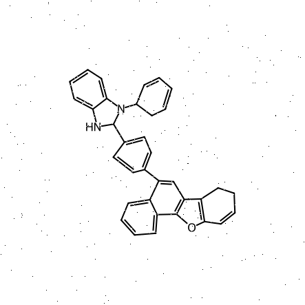 C1=CCC(N2c3ccccc3NC2c2ccc(-c3cc4c5c(oc4c4ccccc34)C=CCC5)cc2)C=C1